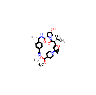 COC(OC)C1CCN(C23C=C([C@H](C(=O)N4C[C@H](O)C[C@H]4C(=O)N[C@@H](C)c4ccc(C#N)cc4)C(C)C)OC2C3)CC1